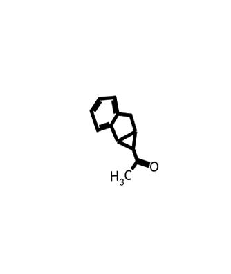 CC(=O)C1C2Cc3ccccc3C21